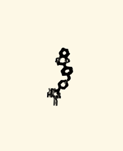 c1ccc2c(c1)OC[C@H](c1ccc(CN3CCC(C4=NNNN4)CC3)cc1)O2